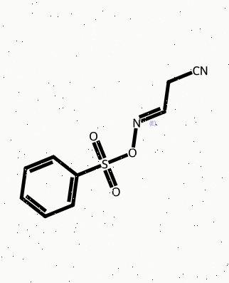 N#CC/C=N/OS(=O)(=O)c1ccccc1